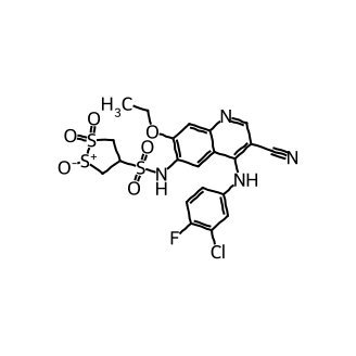 CCOc1cc2ncc(C#N)c(Nc3ccc(F)c(Cl)c3)c2cc1NS(=O)(=O)C1C[S+]([O-])S(=O)(=O)C1